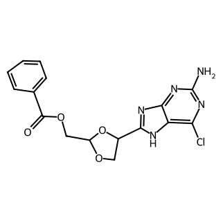 Nc1nc(Cl)c2[nH]c(C3COC(COC(=O)c4ccccc4)O3)nc2n1